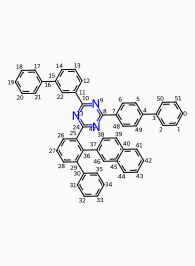 c1ccc(-c2ccc(-c3nc(-c4cccc(-c5ccccc5)c4)nc(-c4cccc(-c5ccccc5)c4-c4ccc5ccccc5c4)n3)cc2)cc1